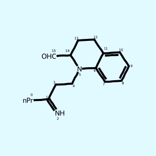 CCCC(=N)CCN1c2ccccc2CCC1C=O